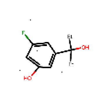 CCC(O)(CC)c1cc(O)cc(F)c1